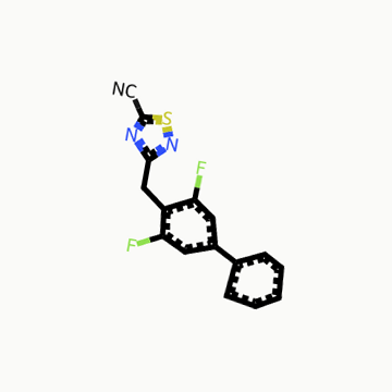 N#Cc1nc(Cc2c(F)cc(-c3ccccc3)cc2F)ns1